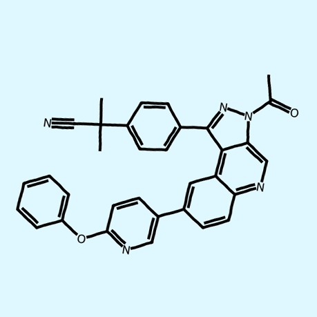 CC(=O)n1nc(-c2ccc(C(C)(C)C#N)cc2)c2c3cc(-c4ccc(Oc5ccccc5)nc4)ccc3ncc21